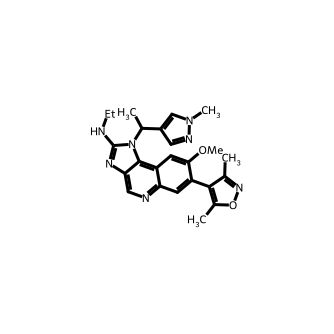 CCNc1nc2cnc3cc(-c4c(C)noc4C)c(OC)cc3c2n1C(C)c1cnn(C)c1